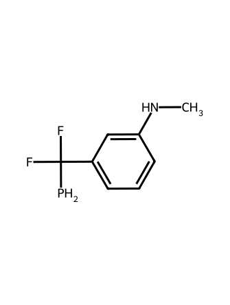 CNc1cccc(C(F)(F)P)c1